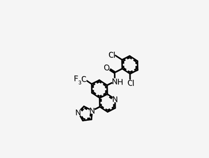 O=C(Nc1cc(C(F)(F)F)cc2c(-n3ccnc3)ccnc12)c1c(Cl)cccc1Cl